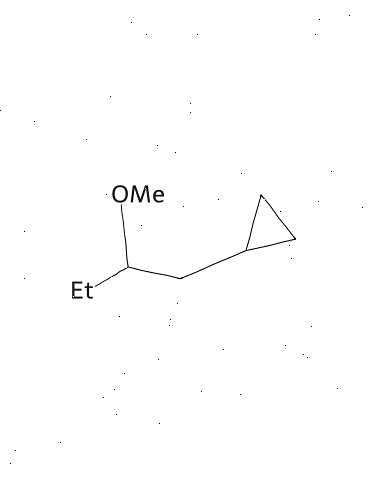 CCC(CC1CC1)OC